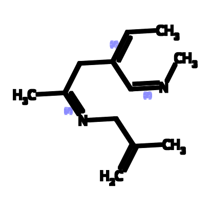 C=C(C)C/N=C(/C)CC(/C=N\C)=C/C